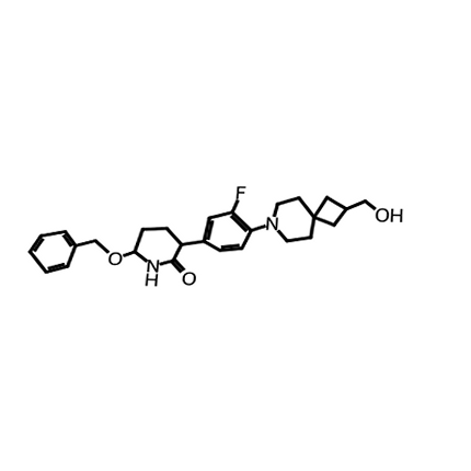 O=C1NC(OCc2ccccc2)CCC1c1ccc(N2CCC3(CC2)CC(CO)C3)c(F)c1